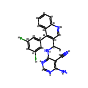 CC(Nc1ncnc(N)c1C#N)c1cnc2ccccc2c1-c1cc(F)cc(F)c1